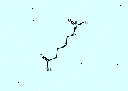 CC(C)/[SH](=O)=N/CCCCC(N)=O